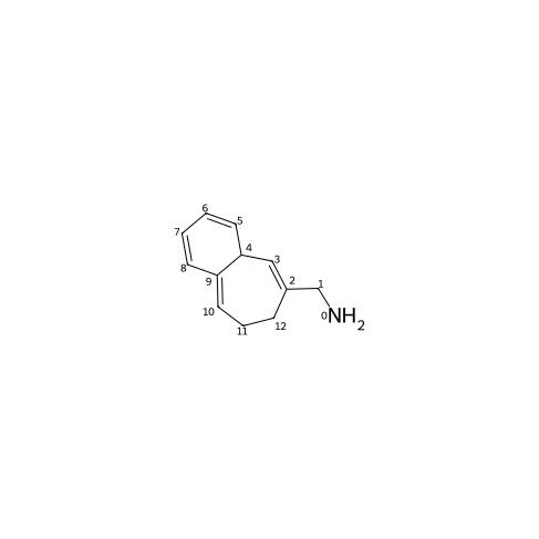 NCC1=CC2C=CC=CC2=CCC1